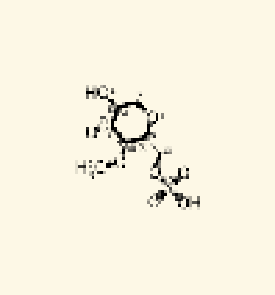 CO[C@H]1[C@H](O)[C@@H](O)[CH]O[C@@H]1COS(=O)(=O)O